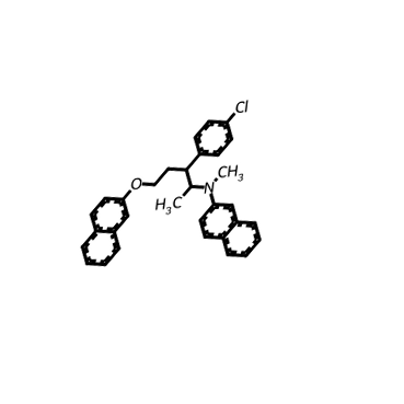 CC(C(CCOc1ccc2ccccc2c1)c1ccc(Cl)cc1)N(C)c1ccc2ccccc2c1